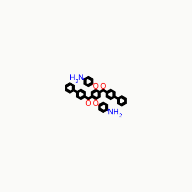 Nc1ccc(Oc2cc(C(=O)c3ccc(-c4ccccc4)cc3)c(Oc3ccc(N)cc3)cc2C(=O)c2ccc(-c3ccccc3)cc2)cc1